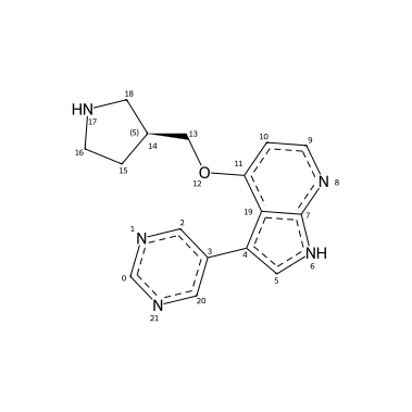 c1ncc(-c2c[nH]c3nccc(OC[C@H]4CCNC4)c23)cn1